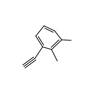 C#Cc1cc[c]c(C)c1C